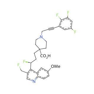 COc1ccc2ncc(CF)c([C@@H](F)CCC3(C(=O)O)CCN(CC#Cc4cc(F)cc(F)c4F)CC3)c2c1